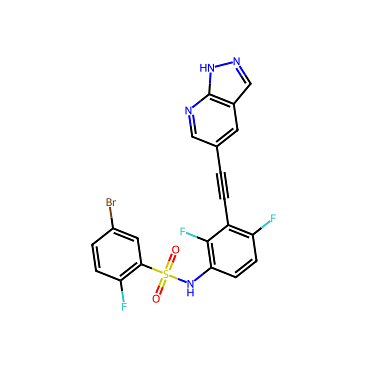 O=S(=O)(Nc1ccc(F)c(C#Cc2cnc3[nH]ncc3c2)c1F)c1cc(Br)ccc1F